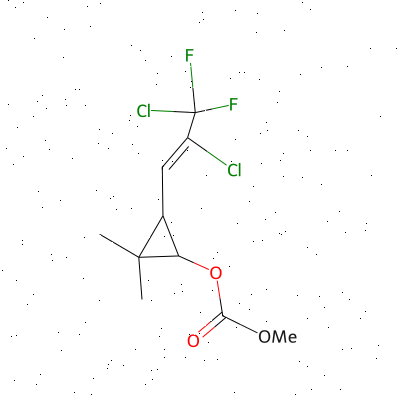 COC(=O)OC1C(C=C(Cl)C(F)(F)Cl)C1(C)C